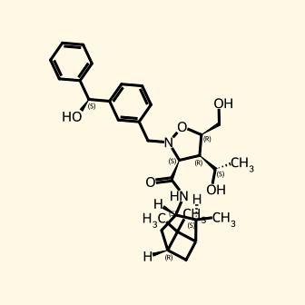 C[C@H](O)[C@@H]1[C@H](CO)ON(Cc2cccc([C@@H](O)c3ccccc3)c2)[C@@H]1C(=O)N[C@H]1C[C@H]2CC([C@@H]1C)C2(C)C